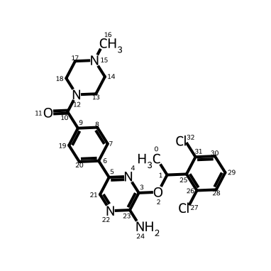 CC(Oc1nc(-c2ccc(C(=O)N3CCN(C)CC3)cc2)cnc1N)c1c(Cl)cccc1Cl